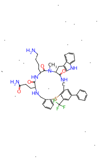 CN1C(=O)C(CCCCN)NC(=O)C(CCC(N)=O)NCc2ccccc2Sc2c(cc(-c3ccccc3)cc2C(F)(F)F)CNC(=O)C1Cc1c[nH]c2ccccc12